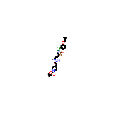 C[C@@H](/C=C/c1cnc(Oc2ccc(OCC3CC3)cc2Cl)s1)NC(=O)CC1CCN(C(=O)OC(C)(C)C)CC1